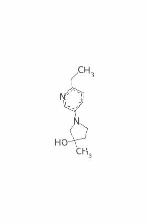 CCc1ccc(N2CCC(C)(O)C2)cn1